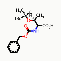 CC(O[Si](C)(C)C(C)(C)C)C(NC(=O)OCc1ccccc1)C(=O)O